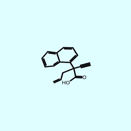 C#CC(CC=C)(C(=O)O)c1cccc2ccccc12